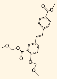 COCOC(=O)c1cc(C=Cc2ccc(C(=O)OC)cc2)ccc1OCOC